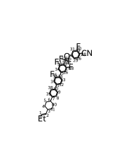 CC/C=C/C1CCC(c2ccc(-c3ccc(-c4cc(F)c(C(F)(F)Oc5ccc(C#N)c(F)c5)c(F)c4)c(F)c3)cc2)CC1